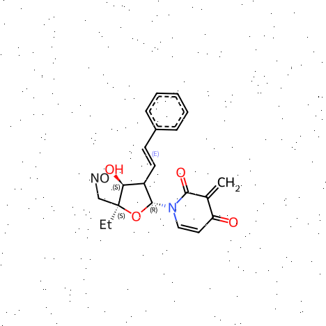 C=C1C(=O)C=CN([C@@H]2O[C@@](CC)(CN=O)[C@@H](O)C2/C=C/c2ccccc2)C1=O